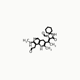 CNc1ncc2c(c1CC=O)NC(C)=C(/C(C)=C1/C(=O)NC3(CCCCC3)N1C=O)C2